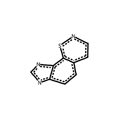 c1cc2ccc3ncnc3c2sn1